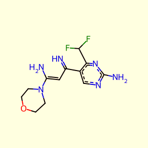 N=C(/C=C(\N)N1CCOCC1)c1cnc(N)nc1C(F)F